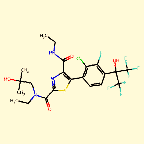 CCNC(=O)c1nc(C(=O)N(CC)CC(C)(C)O)sc1-c1ccc(C(O)(C(F)(F)F)C(F)(F)F)c(F)c1Cl